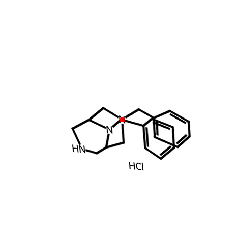 Cl.c1ccc(CN2CC3CNCC(C2)N3Cc2ccccc2)cc1